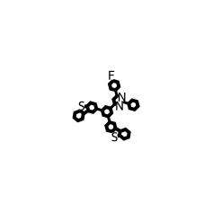 Fc1ccc(-c2cc(-c3cc(-c4ccc5sc6ccccc6c5c4)cc(-c4ccc5sc6ccccc6c5c4)c3)nc(-c3ccccc3)n2)cc1